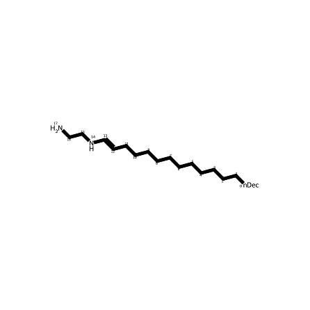 CCCCCCCCCCCCCCCCCCCCC/C=C/NCCN